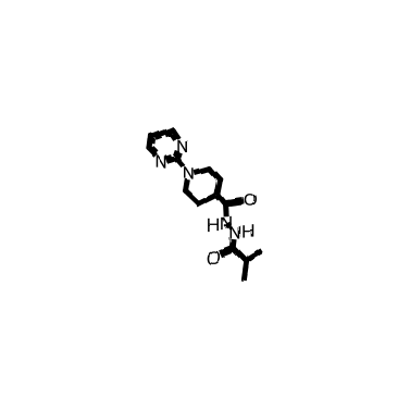 CC(C)C(=O)NNC(=O)C1CCN(c2ncccn2)CC1